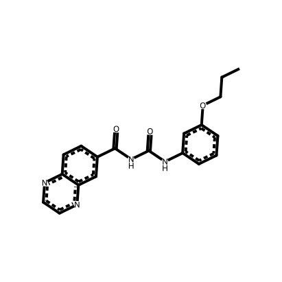 CCCOc1cccc(NC(=O)NC(=O)c2ccc3nccnc3c2)c1